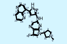 CN1CCC(n2cc(F)c3ncc(Nc4cc(-c5ccnc6cccnc56)[nH]n4)nc32)C1